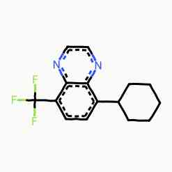 FC(F)(F)c1ccc(C2CCCCC2)c2nccnc12